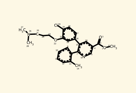 COC(=O)c1cnc(-c2ccccc2C)c(-c2ccc(Cl)c(OCCCN(C)C)c2)c1